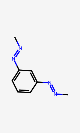 CN=Nc1cccc(N=NC)c1